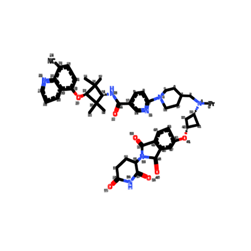 CC(C)N(CC1CCN(c2ccc(C(=O)N[C@H]3C(C)(C)[C@H](Oc4ccc(C#N)c5ncccc45)C3(C)C)cn2)CC1)[C@H]1C[C@@H](Oc2ccc3c(c2)C(=O)N(C2CCC(=O)NC2=O)C3=O)C1